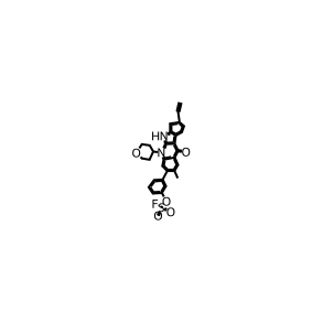 C#Cc1ccc2c(c1)[nH]c1c2c(=O)c2cc(C)c(-c3cccc(OS(=O)(=O)F)c3)cc2n1C1CCOCC1